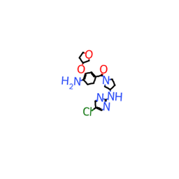 NC1=C(OC2CCOC2)C=C(C(=O)N2CC[C@@H](Nc3ncc(Cl)cn3)C2)CC1